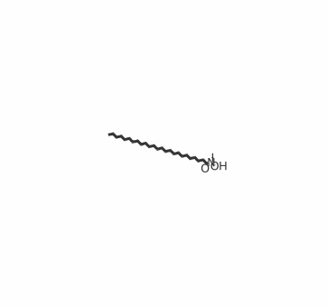 CCCCCCCCCCCCCCCCCCCCCCCCC(=O)N(O)I